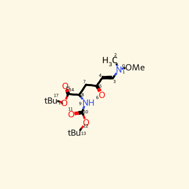 CON(C)/C=C/C(=O)CC(NC(=O)OC(C)(C)C)C(=O)OC(C)(C)C